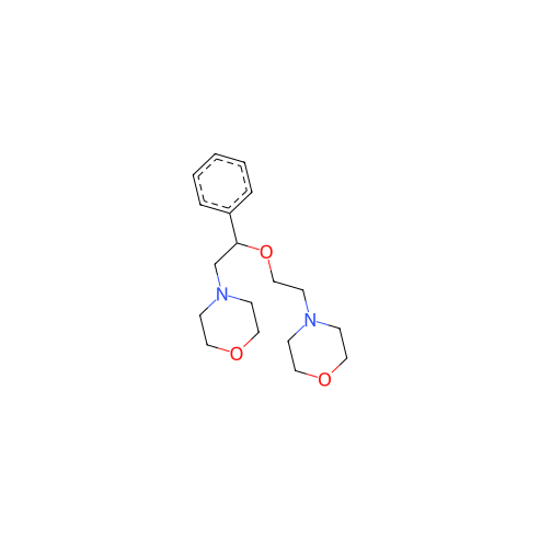 c1ccc(C(CN2CCOCC2)OCCN2CCOCC2)cc1